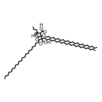 CCCCCCCCCCCCCCCCCCCCCCOC(C(=O)O)(C(C(=O)O)C(=O)CCC)C(CCCCCCCCCCCCCCCCCCCCCC)(CCCCCCCCCCCCCCCCCCCCCC)C(=O)O